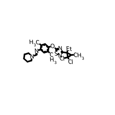 CCC1(c2nsc(Oc3cc(C)c(N=CN4CCCCC4)cc3C)n2)C(C)C1(Cl)Cl